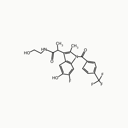 Cc1c(C(C)C(=O)NCCO)c2cc(O)c(F)cc2n1C(=O)c1ccc(C(F)(F)F)cc1